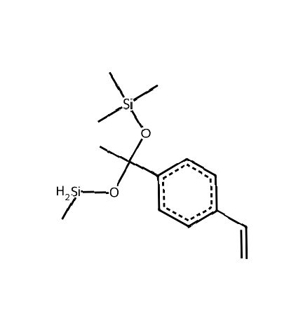 C=Cc1ccc(C(C)(O[SiH2]C)O[Si](C)(C)C)cc1